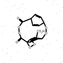 O=C(O)C1=C2OOC23C=CC1OOC1C=CC(C=C1)C(=O)OOC3=O